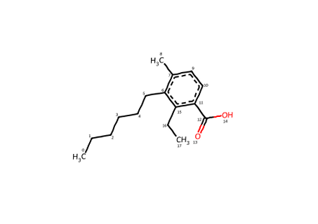 CCCCCCc1c(C)ccc(C(=O)O)c1CC